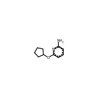 Nc1cccc(OC2CCCC2)n1